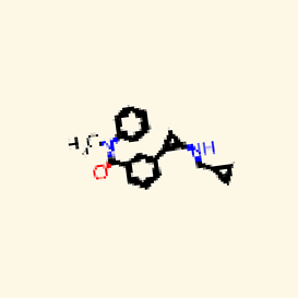 CN(C(=O)c1cccc(C2CC2NCC2CC2)c1)c1ccccc1